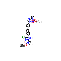 CC1CC(c2nc(Cl)c(-c3ccc4cc(-c5ccc(-c6cnc([C@@H]7C[C@H](C)CN7C(=O)OC(C)(C)C)[nH]6)cc5)ccc4c3)[nH]2)N(C(=O)OC(C)(C)C)C1